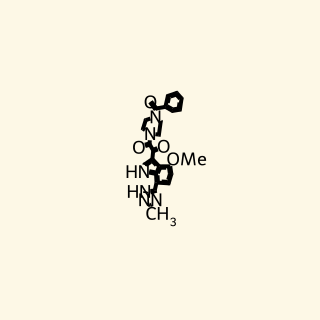 COc1ccc(-c2nc(C)n[nH]2)c2[nH]cc(C(=O)C(=O)N3CCN(C(=O)c4ccccc4)CC3)c12